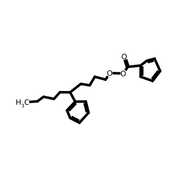 CCCCCC(CCCCOOC(=O)c1ccccc1)c1ccccc1